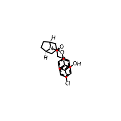 O=C(COc1ccc(Cl)cc1O)N1[C@@H]2CC[C@H]1CC(Oc1ccc(F)cc1)C2